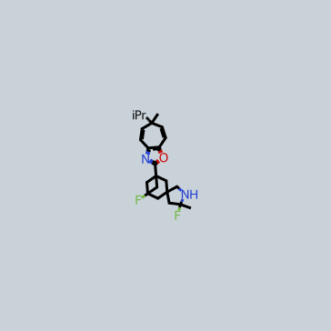 CC(C)C1(C)C=Cc2nc(C34CC(F)(CC5(CNC(C)(F)C5)C3)C4)oc2C=C1